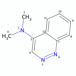 CN(C)c1cnnc2ccccc12